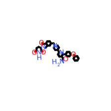 NC(=O)c1ccc(C2=CCN(Cc3ccc4c(c3)CN(C3CCC(=O)NC3=O)C4=O)CC2)nc1-c1ccc(Oc2ccccc2)cc1